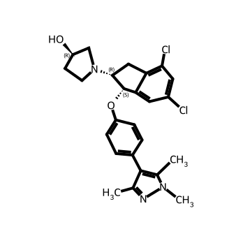 Cc1nn(C)c(C)c1-c1ccc(O[C@H]2c3cc(Cl)cc(Cl)c3C[C@H]2N2CC[C@@H](O)C2)cc1